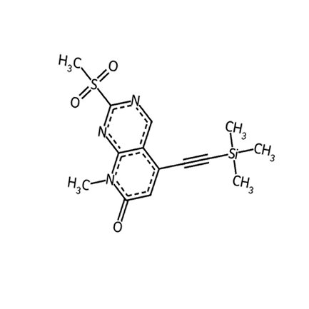 Cn1c(=O)cc(C#C[Si](C)(C)C)c2cnc(S(C)(=O)=O)nc21